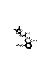 COc1cccc(OC)c1CNC(=N)Nc1nc(C)c(C)o1